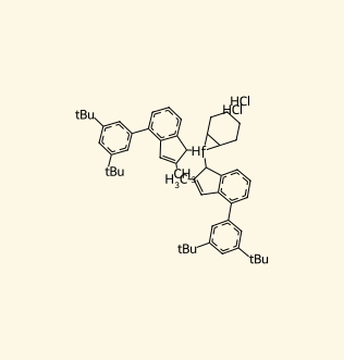 CC1=Cc2c(-c3cc(C(C)(C)C)cc(C(C)(C)C)c3)cccc2[CH]1[Hf]1([CH]2C(C)=Cc3c(-c4cc(C(C)(C)C)cc(C(C)(C)C)c4)cccc32)[CH]2CCCC[CH]21.Cl.Cl